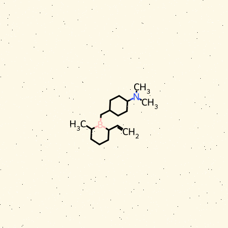 C=CC1CCCC(C)B1CC1CCC(N(C)C)CC1